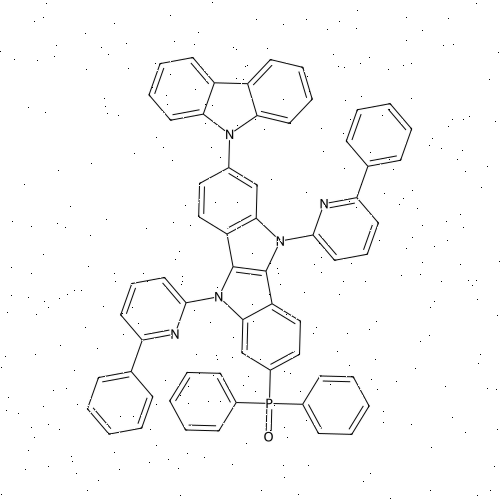 O=P(c1ccccc1)(c1ccccc1)c1ccc2c(c1)n(-c1cccc(-c3ccccc3)n1)c1c3ccc(-n4c5ccccc5c5ccccc54)cc3n(-c3cccc(-c4ccccc4)n3)c21